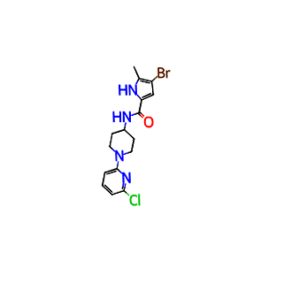 Cc1[nH]c(C(=O)NC2CCN(c3cccc(Cl)n3)CC2)cc1Br